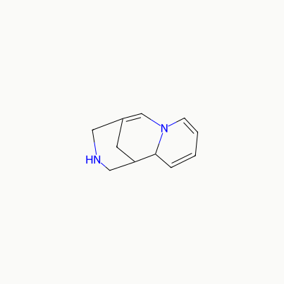 C1=CC2C3CNCC(=CN2C=C1)C3